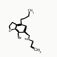 CCCNCc1cc(CCC)c2c(c1Br)OCC2